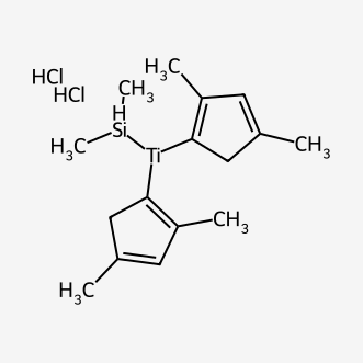 CC1=CC(C)=[C]([Ti]([C]2=C(C)C=C(C)C2)[SiH](C)C)C1.Cl.Cl